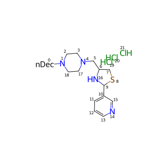 CCCCCCCCCCN1CCN(CC2CSC(c3cccnc3)N2)CC1.Cl.Cl.Cl